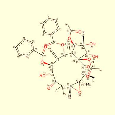 C=C1[C@H](OC(=O)c2ccccc2)[C@H]2[C@@H](OC(C)=O)[C@](C)(O)[C@H](O)[C@]2(OC(C)=O)C(=O)[C@@H](C)[C@H]2O[C@@H]2C(C)(C)C(=O)[C@H](O)[C@H]1OC(=O)c1ccccc1